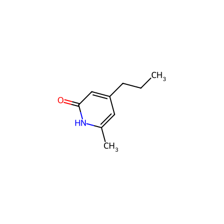 CCCc1cc(C)[nH]c(=O)c1